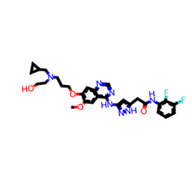 COc1cc2c(Nc3cc(CC(=O)Nc4cccc(F)c4F)[nH]n3)ncnc2cc1OCCCN(CCO)CC1CC1